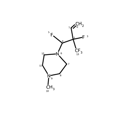 C=CC(F)(C(F)N1CCN(C)CC1)C(F)(F)F